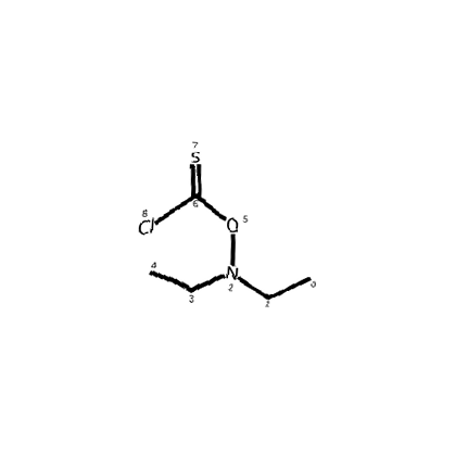 CCN(CC)OC(=S)Cl